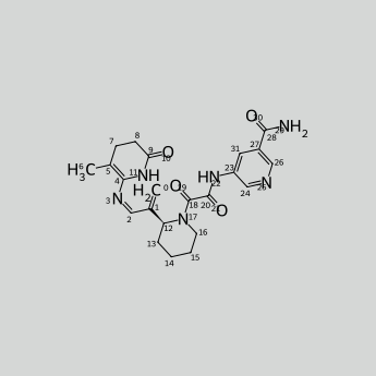 C=C(/C=N\C1=C(C)CCC(=O)N1)[C@@H]1CCCCN1C(=O)C(=O)Nc1cncc(C(N)=O)c1